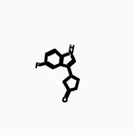 O=C1CCC(c2c[nH]c3ccc(F)cc23)C1